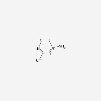 Nc1[c]c(Cl)ncc1